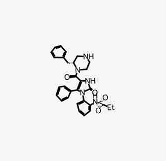 CCS(=O)(=O)Nc1ccccc1-n1c(-c2ccccc2)c(C(=O)N2CCNC[C@H]2Cc2ccccc2)[nH]c1=O